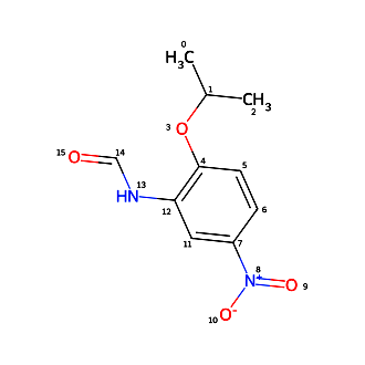 CC(C)Oc1ccc([N+](=O)[O-])cc1NC=O